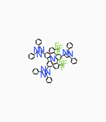 FC(F)(F)c1ccccc1-c1cc(-c2cc(-c3ccccc3)nc(-c3ccccc3)n2)cc(-c2ccccc2C(F)(F)F)c1-n1c2ccc(-c3nc(-c4ccccc4)nc(-c4ccccc4)n3)cc2c2cc(-c3nc(-c4ccccc4)nc(-c4ccccc4)n3)ccc21